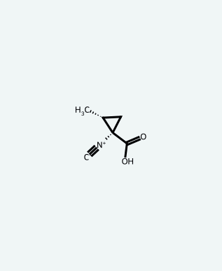 [C-]#[N+][C@@]1(C(=O)O)C[C@H]1C